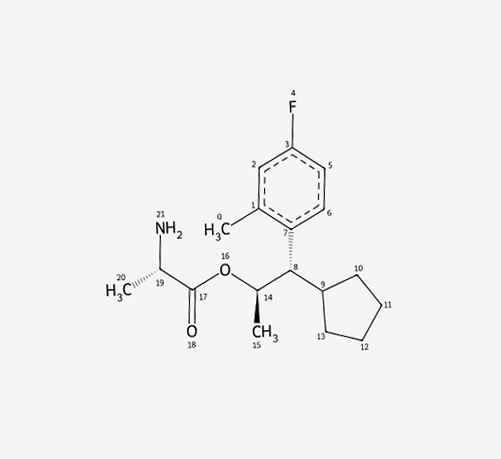 Cc1cc(F)ccc1[C@H](C1CCCC1)[C@@H](C)OC(=O)[C@H](C)N